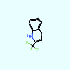 FC(F)(F)C1=C[CH]c2ccccc2N1